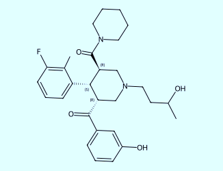 Cc1c(F)cccc1[C@H]1[C@@H](C(=O)c2cccc(O)c2)CN(CCC(C)O)C[C@@H]1C(=O)N1CCCCC1